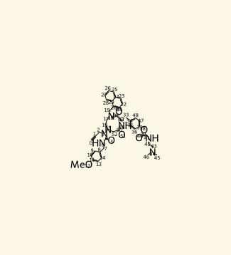 C#CCN(C(=O)NCc1ccc(OC)cc1)N1CCN(Cc2cccc3ccccc23)C(=O)[C@H](Cc2ccc(OC(=O)NCCN(C)C)cc2)NC(=O)C1